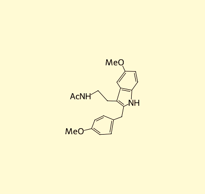 COc1ccc(Cc2[nH]c3ccc(OC)cc3c2CCNC(C)=O)cc1